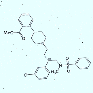 COC(=O)c1ccccc1C1CCN(CC[C@H](CN(C)S(=O)(=O)c2ccccc2)c2cccc(Cl)c2)CC1